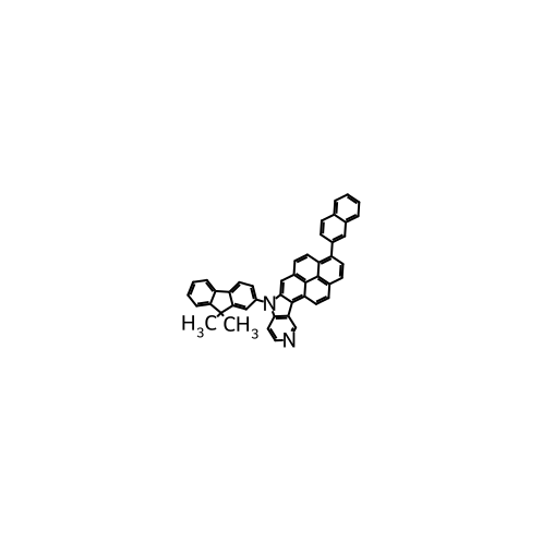 CC1(C)c2ccccc2-c2ccc(-n3c4ccncc4c4c5ccc6ccc(-c7ccc8ccccc8c7)c7ccc(cc43)c5c67)cc21